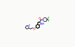 CN1CCCC1CCOc1ccc2[nH]c(C(=O)N3CCC(F)(F)CC3)cc2c1